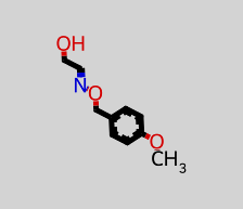 COc1ccc(CON=CCO)cc1